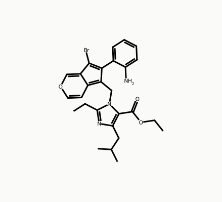 CCOC(=O)c1c(CC(C)C)nc(CC)n1Cc1c2ccocc-2c(Br)c1-c1ccccc1N